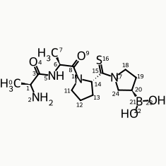 C[C@H](N)C(=O)N[C@@H](C)C(=O)N1CCC[C@H]1C(=S)N1CC[C@@H](B(O)O)C1